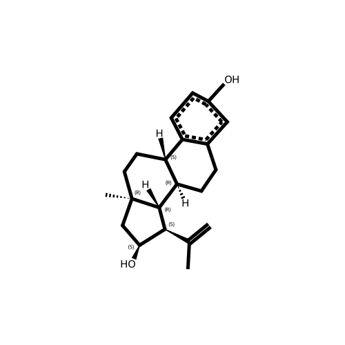 C=C(C)[C@@H]1[C@H]2[C@@H]3CCc4cc(O)ccc4[C@H]3CC[C@]2(C)C[C@@H]1O